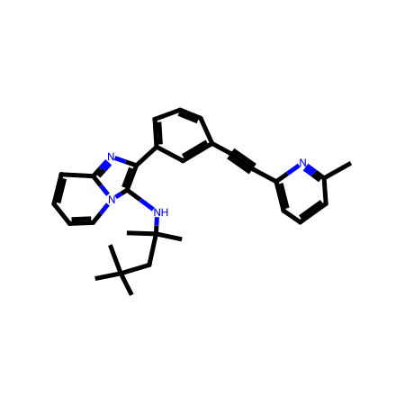 Cc1cccc(C#Cc2cccc(-c3nc4ccccn4c3NC(C)(C)CC(C)(C)C)c2)n1